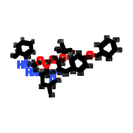 Cc1ccccc1NC(=O)NC(CC(C)C)C(=O)NC(Cc1ccc(OCc2ccccc2)cc1)C(=O)OC(C)(C)C